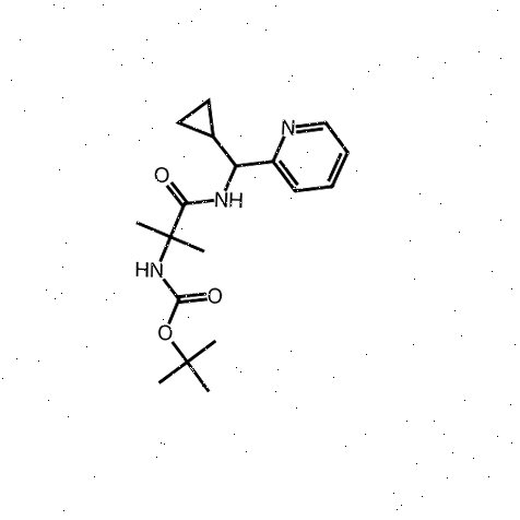 CC(C)(C)OC(=O)NC(C)(C)C(=O)NC(c1ccccn1)C1CC1